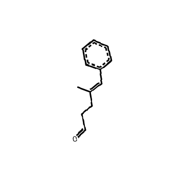 C/C(=C\c1ccccc1)CCC=O